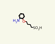 Nc1ccccc1OCCCCS(=O)(=O)O